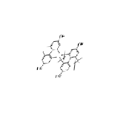 CC(C)(C)c1cc(O)cc(C(C)(C)C)c1-c1c(C(C)(C)C)cc(O)cc1C(C)(C)C.Cc1cc(O)cc(C)c1-c1c(C)cc(O)cc1C